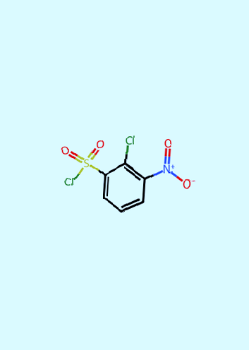 O=[N+]([O-])c1cccc(S(=O)(=O)Cl)c1Cl